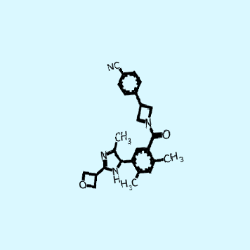 Cc1cc(C)c(C2NC(C3COC3)=NC2C)cc1C(=O)N1CC(c2ccc(C#N)cc2)C1